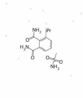 CC(C)c1cccc(C(N)=O)c1C(N)=O.CS(N)(=O)=O